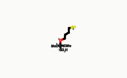 CO[Si](OC)(OCCCCS)S(=O)(=O)O